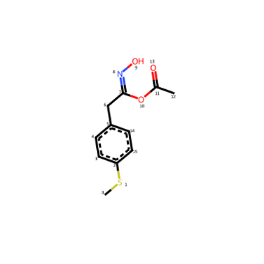 CSc1ccc(CC(=NO)OC(C)=O)cc1